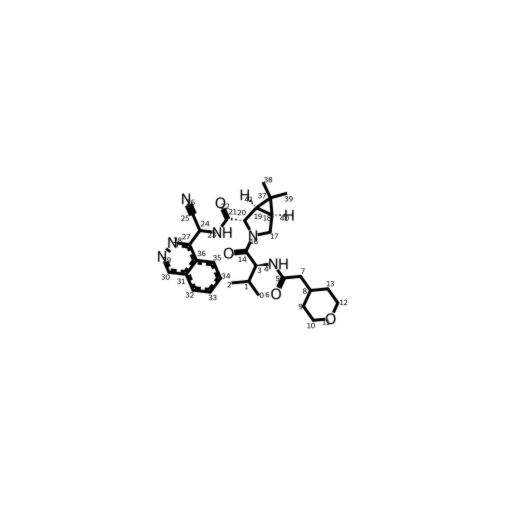 CC(C)[C@H](NC(=O)CC1CCOCC1)C(=O)N1C[C@H]2[C@@H]([C@H]1C(=O)NC(C#N)c1nncc3ccccc13)C2(C)C